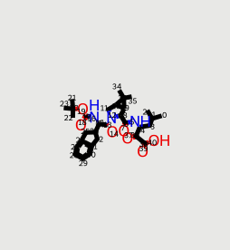 CC(C)CC(NC(=O)C1C2C(CN1C(=O)[C@@H](NC(=O)OC(C)(C)C)C1Cc3ccccc3C1)C2(C)C)C(=O)C(=O)O